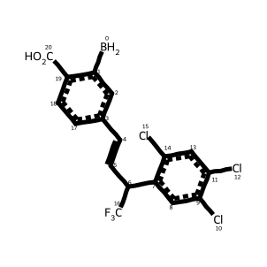 Bc1cc(/C=C/C(c2cc(Cl)c(Cl)cc2Cl)C(F)(F)F)ccc1C(=O)O